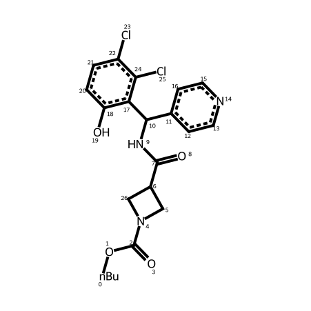 CCCCOC(=O)N1CC(C(=O)NC(c2ccncc2)c2c(O)ccc(Cl)c2Cl)C1